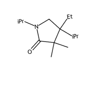 CCC1(C(C)C)CN(C(C)C)C(=O)C1(C)C